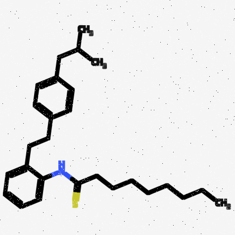 CCCCCCCCC(=S)Nc1ccccc1CCc1ccc(CC(C)C)cc1